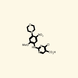 COc1cc(N2CCOCC2)c([N+](=O)[O-])cc1Nc1ncc(C(=O)O)c(Cl)n1